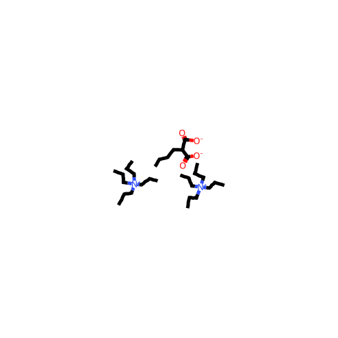 CCCCC(C(=O)[O-])C(=O)[O-].CCC[N+](CCC)(CCC)CCC.CCC[N+](CCC)(CCC)CCC